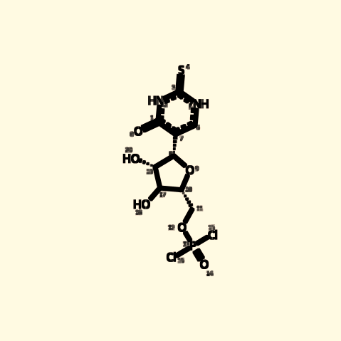 O=c1[nH]c(=S)[nH]cc1[C@@H]1O[C@H](COP(=O)(Cl)Cl)C(O)[C@@H]1O